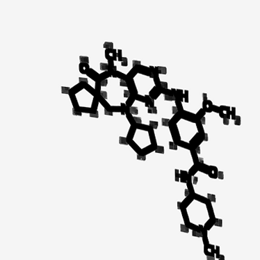 COc1cc(C(=O)NC2CCN(C)CC2)ccc1Nc1ncc2c(n1)N(C1CCCC1)CC1(CCCC1)C(=O)N2C